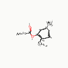 COC(=O)Oc1cc(C)ccc1C